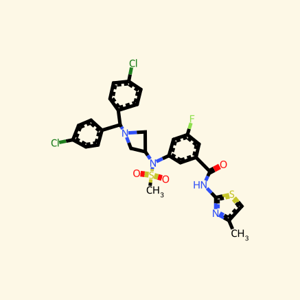 Cc1csc(NC(=O)c2cc(F)cc(N(C3CN(C(c4ccc(Cl)cc4)c4ccc(Cl)cc4)C3)S(C)(=O)=O)c2)n1